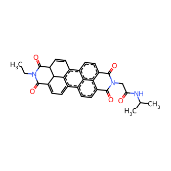 CCN1C(=O)C2=CC=c3c4c(c5ccc6c7c(ccc3c57)C(=O)N(CC(=O)NC(C)C)C6=O)C=CC(C1=O)C24